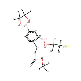 C=C(CCc1ccc(B2OC(C)(C)C(C)(C)O2)cc1BOC(C)(C)C(C)(C)S)OC(C)(C)C